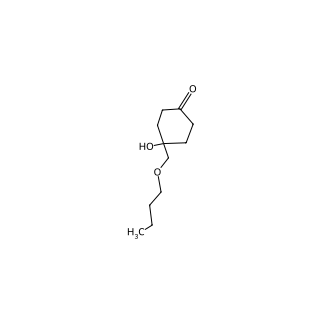 CCCCOCC1(O)CCC(=O)CC1